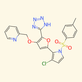 Cc1ccc(S(=O)(=O)n2ccc(Cl)c2-c2cc(OCc3ccccn3)c(-c3nnn[nH]3)o2)cc1